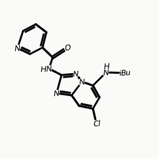 CCC(C)Nc1cc(Cl)cc2nc(NC(=O)c3cccnc3)nn12